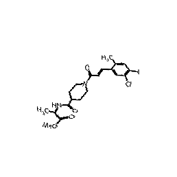 COC(=O)C(C)NC(=O)C1CCN(C(=O)C=Cc2cc(Cl)c(I)cc2C)CC1